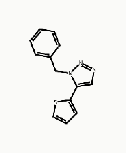 c1ccc(Cn2nncc2-c2cccs2)cc1